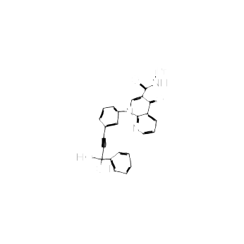 CC(C)NC(=O)c1cn(-c2cccc(C#CC(C)(O)c3ccccc3)c2)c2ncccc2c1=O